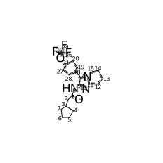 O=C(CC1CCCC1)Nc1nc2ccccn2c1-c1ccc(OC(F)(F)F)cc1